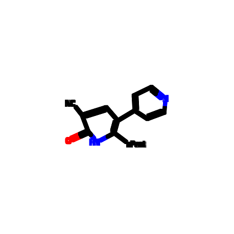 CCCCCc1[nH]c(=O)c(C#N)cc1-c1ccncc1